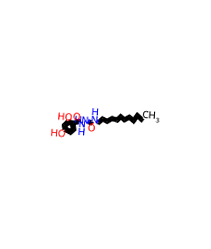 CCCCCCCCCCCCNC(=O)NNC(=O)c1ccc(O)cc1O